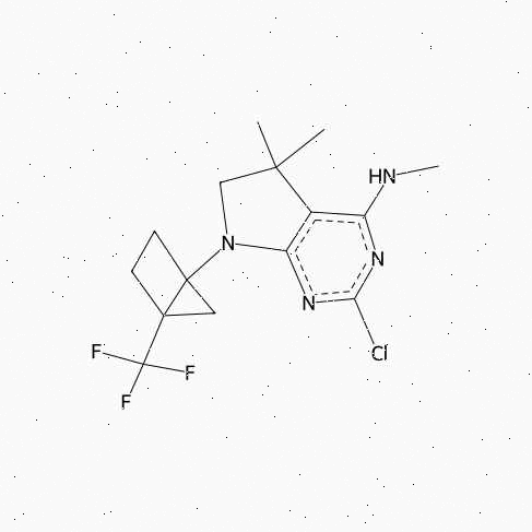 CNc1nc(Cl)nc2c1C(C)(C)CN2C12CCC1(C(F)(F)F)C2